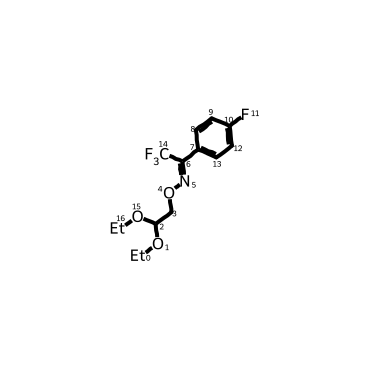 CCOC(CON=C(c1ccc(F)cc1)C(F)(F)F)OCC